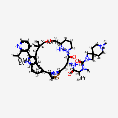 CCn1c(-c2cccnc2[C@H](C)OC)c2c3cc(ccc31)-c1csc(n1)C[C@H](NC(=O)[C@H](C(C)C)N(C)C(=O)N1CC3(CCN(C)CC3)C1)C(=O)N1CCC[C@](C=O)(COCC(C)(C)C2)N1